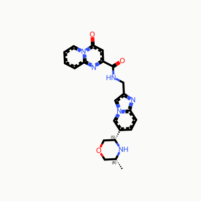 C[C@@H]1COC[C@H](c2ccc3nc(CNC(=O)c4cc(=O)n5ccccc5n4)cn3c2)N1